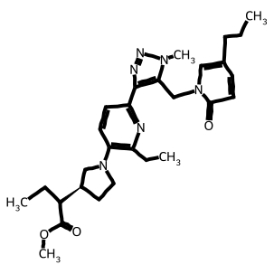 CCCc1ccc(=O)n(Cc2c(-c3ccc(N4CC[C@@H](C(CC)C(=O)OC)C4)c(CC)n3)nnn2C)c1